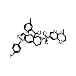 Cc1ccnc(C(=O)C23Cc4cnn(-c5ccc(F)cc5)c4C=C2CCN(S(=O)(=O)c2cnc4c(c2)OCCN4C)C3)c1